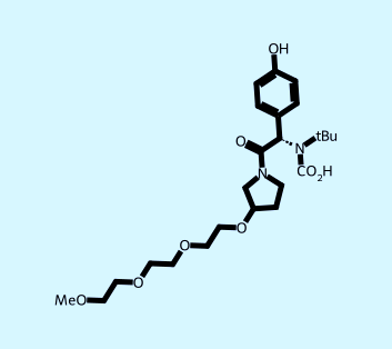 COCCOCCOCCOC1CCN(C(=O)[C@H](c2ccc(O)cc2)N(C(=O)O)C(C)(C)C)C1